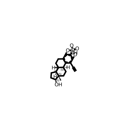 C#Cc1c2c(O)c(c3c1[C@H]1CC[C@]4(C)[C@@H](O)CC[C@H]4[C@@H]1CC3)OS(=O)(=O)O2